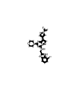 Fc1cccc2nc(CNc3nc(N4CCOCC4)nc4c(-c5cnn(C(F)F)c5)cnn34)[nH]c12